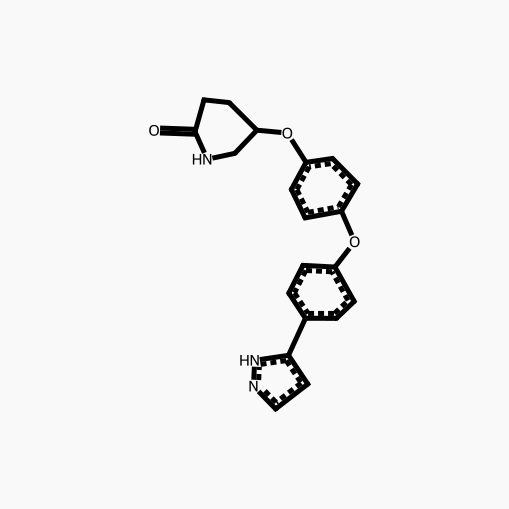 O=C1CCC(Oc2ccc(Oc3ccc(-c4ccn[nH]4)cc3)cc2)CN1